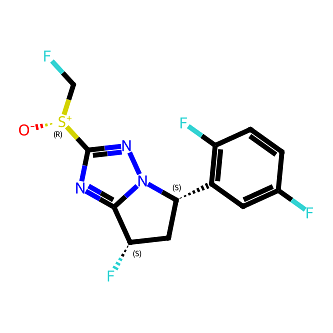 [O-][S@+](CF)c1nc2n(n1)[C@H](c1cc(F)ccc1F)C[C@@H]2F